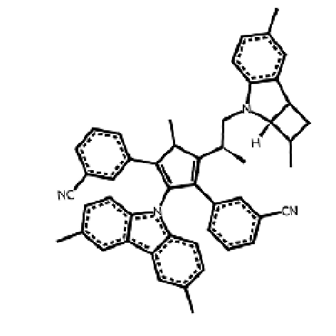 Cc1ccc2c(c1)C1CC(C)[C@@H]1N2C[C@@H](C)C1=C(c2cccc(C#N)c2)C(n2c3ccc(C)cc3c3cc(C)ccc32)=C(c2cccc(C#N)c2)C1C